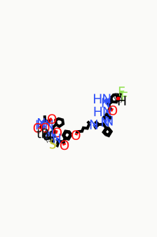 CC(CCCCOc1cccc(C(=O)c2csc([C@@H]3CCCN3C(=O)C(NC(=O)C(C)N(C)C(=O)OC(C)(C)C)C3CCCCC3)n2)c1)N1CC(C(c2ccccc2)n2cc(NC(=O)c3n[nH]c4c3C[C@@H]3C(F)(F)[C@]3(C)C4)cn2)C1